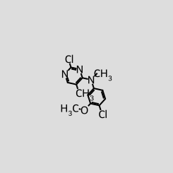 COc1cc(N(C)c2nc(Cl)ncc2C)ccc1Cl